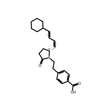 O=C(O)c1ccc(CCN2C(=O)CC[C@@H]2/C=C\C=C\C2CCCCC2)cc1